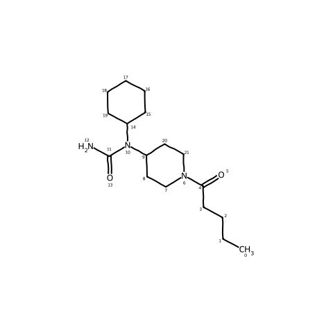 CCCCC(=O)N1CCC(N(C(N)=O)C2CCCCC2)CC1